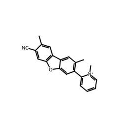 Cc1cc2c(cc1C#N)oc1cc(-c3cccc[n+]3C)c(C)cc12